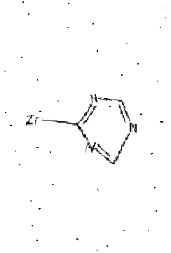 [Zr][c]1ncncn1